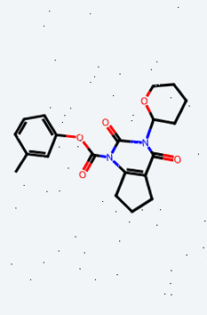 Cc1cccc(OC(=O)n2c3c(c(=O)n(C4CCCCO4)c2=O)CCC3)c1